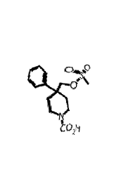 CS(=O)(=O)OCC1(c2ccccc2)CCN(C(=O)O)CC1